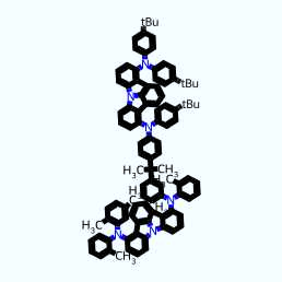 Cc1ccc(C)c(N(c2ccccc2C)c2cccc3c2c2cccc4c5c(N(c6ccccc6C)c6cc(C(C)(C)c7ccc(N(c8ccc(C(C)(C)C)cc8)c8cccc9c8c8cccc%10c%11c(N(c%12ccc(C(C)(C)C)cc%12)c%12ccc(C(C)(C)C)cc%12)cccc%11n9c%108)cc7)ccc6C)cccc5n3c24)c1